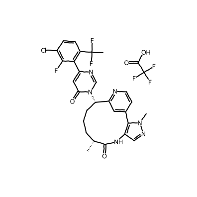 C[C@@H]1CCC[C@H](n2cnc(-c3c(C(C)(F)F)ccc(Cl)c3F)cc2=O)c2cc(ccn2)-c2c(cnn2C)NC1=O.O=C(O)C(F)(F)F